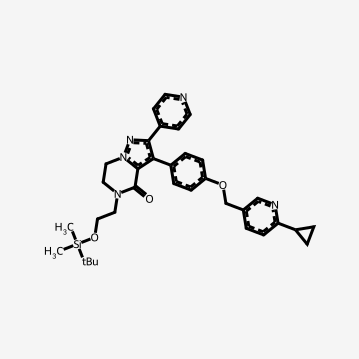 CC(C)(C)[Si](C)(C)OCCN1CCn2nc(-c3ccncc3)c(-c3ccc(OCc4ccc(C5CC5)nc4)cc3)c2C1=O